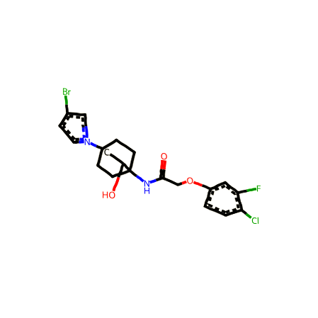 O=C(COc1ccc(Cl)c(F)c1)NC12CCC(n3ccc(Br)c3)(CC1)CC2O